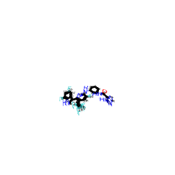 O=C(N[C@H]1CCC[C@@H](Nc2nc(-c3c[nH]c4c(F)cc(F)cc34)c(C(F)(F)F)cc2F)C1)c1ncn[nH]1